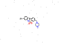 CC(C)c1ccc2c3cn(c2c1)S(=O)(=O)c1cc(CN2CCN(C)CC2)ccc1-3